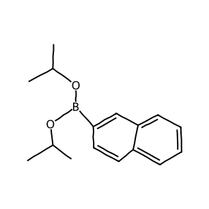 CC(C)OB(OC(C)C)c1ccc2ccccc2c1